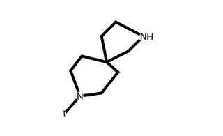 IN1CCC2(CCNC2)CC1